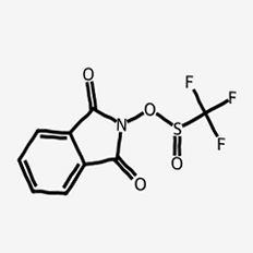 O=C1c2ccccc2C(=O)N1OS(=O)C(F)(F)F